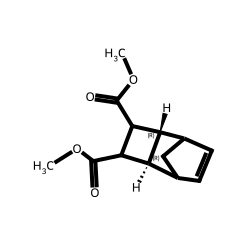 COC(=O)C1C(C(=O)OC)[C@@H]2C3C=CC(C3)[C@@H]12